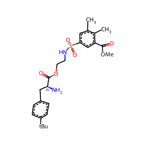 COC(=O)c1cc(S(=O)(=O)NCCOC(=O)[C@@H](N)Cc2ccc(C(C)(C)C)cc2)cc(C)c1C